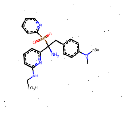 CCCCN(C)c1ccc(CC(N)(c2cccc(NCC(=O)O)n2)S(=O)(=O)c2ccccn2)cc1